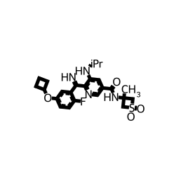 CC(C)Nc1cc(C(=O)NC2(C)CS(=O)(=O)C2)cnc1C(=N)c1cc(OC2CCC2)ccc1F